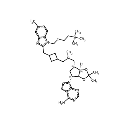 CN(CC1CC(Cc2nc3cc(C(F)(F)F)ccc3n2COCC[Si](C)(C)C)C1)C[C@H]1C[C@@H](n2ccc3c(N)ncnc32)C2OC(C)(C)O[C@@H]21